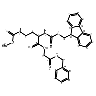 CC(C)(C)OC(=O)NCCC(NC(=O)OCC1c2ccccc2-c2ccccc21)C(=O)OCC(=O)OCc1ccccc1